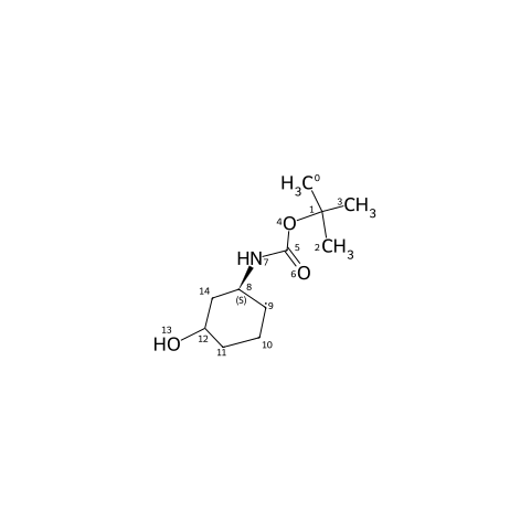 CC(C)(C)OC(=O)N[C@H]1[CH]CCC(O)C1